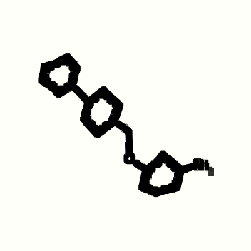 Nc1cccc(OCc2ccc(-c3ccccc3)cc2)c1